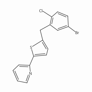 Clc1ccc(Br)cc1Cc1ccc(-c2ccccn2)s1